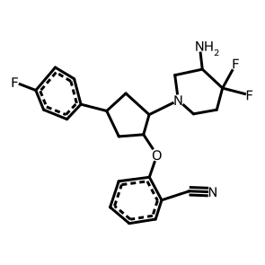 N#Cc1ccccc1OC1CC(c2ccc(F)cc2)CC1N1CCC(F)(F)C(N)C1